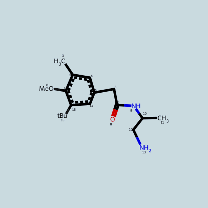 COc1c(C)cc(CC(=O)NC(C)CN)cc1C(C)(C)C